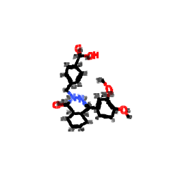 COc1ccc(C2=NN(Cc3ccc(C(=O)O)cc3)C(=O)C3CC=CCC23)cc1OC